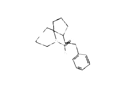 NC(=O)N1CCCCC12CCCC2CCc1ccccc1